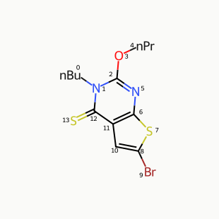 CCCCn1c(OCCC)nc2sc(Br)cc2c1=S